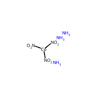 N.N.N.O=[N+]([O-])[Co]([N+](=O)[O-])[N+](=O)[O-]